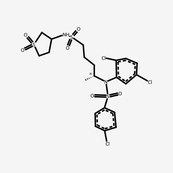 C[C@H](CCCS(=O)(=O)NC1CCS(=O)(=O)C1)N(c1cc(Cl)ccc1Cl)S(=O)(=O)c1ccc(Cl)cc1